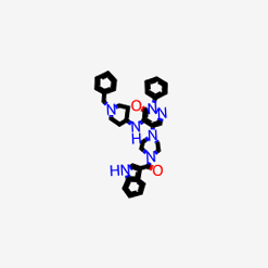 O=C(c1c[nH]c2ccccc12)N1CCN(c2cnn(-c3ccccc3)c(=O)c2NC2CCN(Cc3ccccc3)CC2)CC1